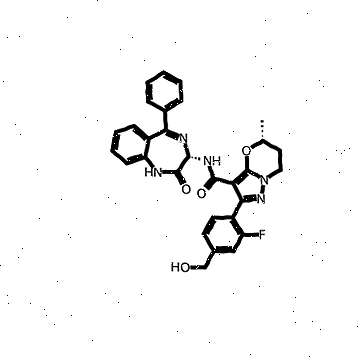 C[C@@H]1CCn2nc(-c3ccc(CO)cc3F)c(C(=O)N[C@H]3N=C(c4ccccc4)c4ccccc4NC3=O)c2O1